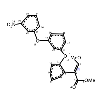 CO/C=C(/C(=O)OC)c1ccccc1Oc1cccc(Oc2cccc([N+](=O)[O-])c2)c1